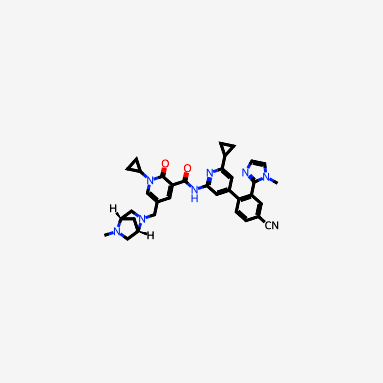 CN1C[C@@H]2C[C@H]1CN2Cc1cc(C(=O)Nc2cc(-c3ccc(C#N)cc3-c3nccn3C)cc(C3CC3)n2)c(=O)n(C2CC2)c1